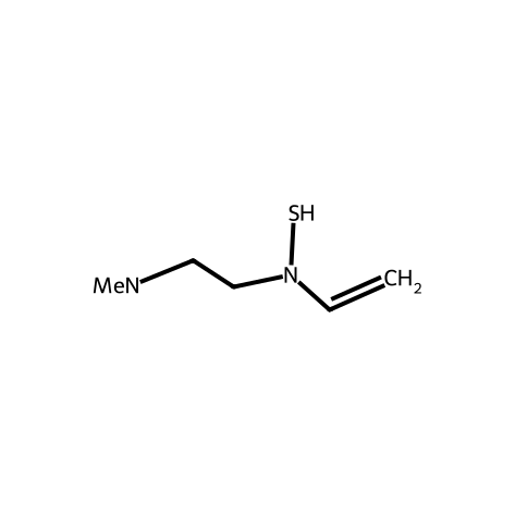 C=CN(S)CCNC